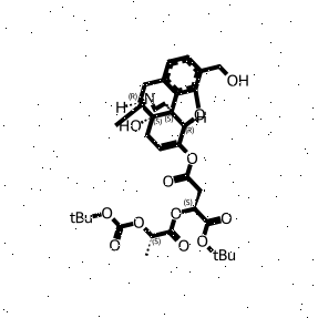 C[C@H](OC(=O)OC(C)(C)C)C(=O)O[C@@H](CC(=O)OC1=CC[C@@]2(O)[C@H]3Cc4ccc(CO)c5c4[C@@]2(CCN3C)[C@H]1O5)C(=O)OC(C)(C)C